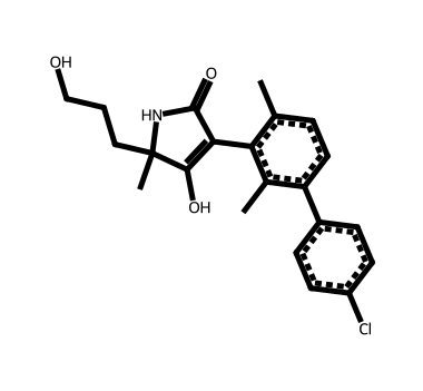 Cc1ccc(-c2ccc(Cl)cc2)c(C)c1C1=C(O)C(C)(CCCO)NC1=O